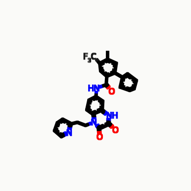 Cc1cc(-c2ccccc2)c(C(=O)Nc2ccc3c(c2)[nH]c(=O)c(=O)n3CCc2ccccn2)cc1C(F)(F)F